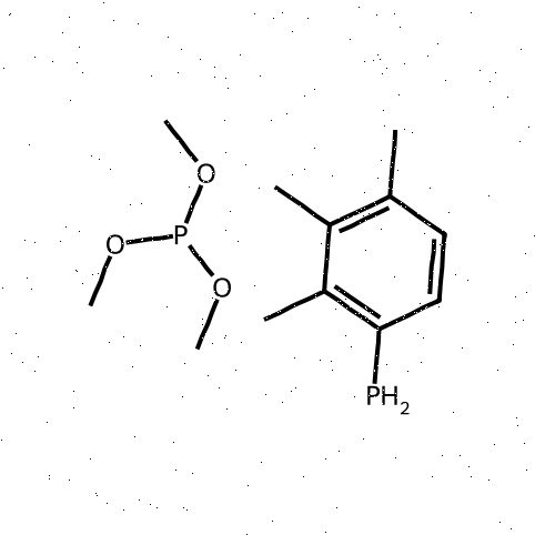 COP(OC)OC.Cc1ccc(P)c(C)c1C